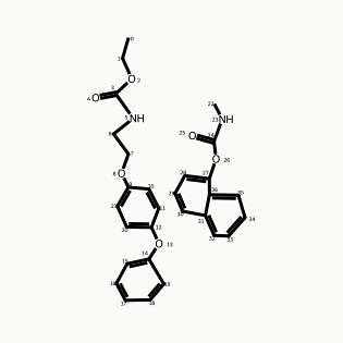 CCOC(=O)NCCOc1ccc(Oc2ccccc2)cc1.CNC(=O)Oc1cccc2ccccc12